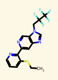 CCSc1cccnc1-c1cc2ncn(CC(F)(F)C(F)(F)F)c2cn1